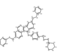 c1ccc(COc2ccc3c(ccc4c5cc(OCc6ccccc6)ccc5n(Cc5ccc(OCCN6CCCCC6)cc5)c34)c2)cc1